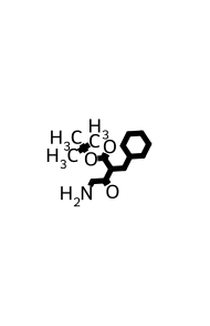 CC(C)(C)OC(=O)C(CC1CCCCC1)C(=O)CN